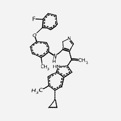 C=C(C1=C(Nc2cc(Oc3ccccc3F)ccc2C)CN=C1)c1cc2cc(C3CC3)c(C)cc2[nH]1